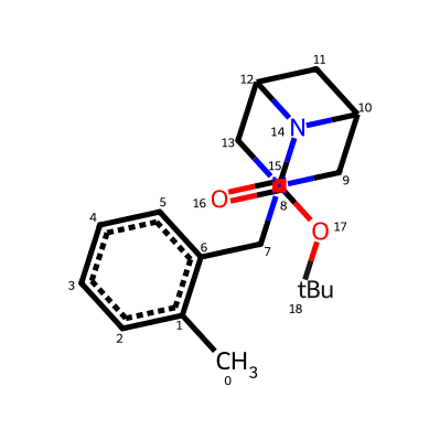 Cc1ccccc1CN1CC2CC(C1)N2C(=O)OC(C)(C)C